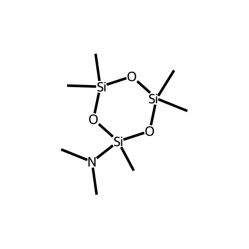 CN(C)[Si]1(C)O[Si](C)(C)O[Si](C)(C)O1